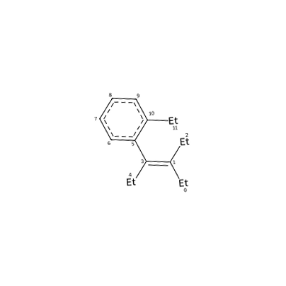 CCC(CC)=C(CC)c1ccccc1CC